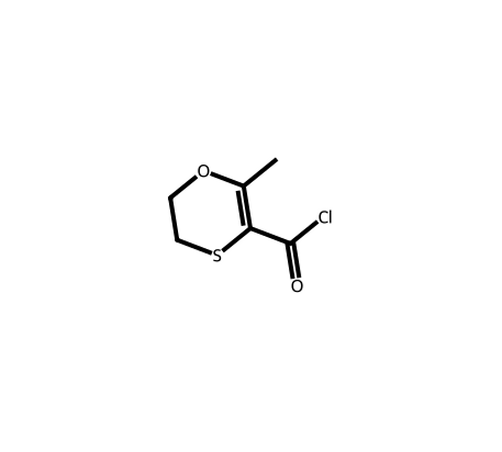 CC1=C(C(=O)Cl)SCCO1